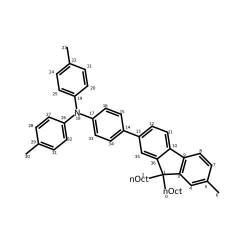 CCCCCCCCC1(CCCCCCCC)c2cc(C)ccc2-c2ccc(-c3ccc(N(c4ccc(C)cc4)c4ccc(C)cc4)cc3)cc21